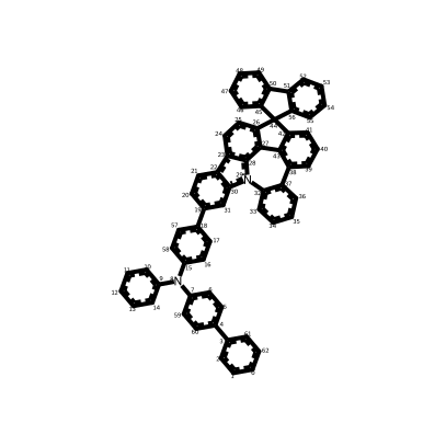 c1ccc(-c2ccc(N(c3ccccc3)c3ccc(-c4ccc5c6ccc7c8c6n(c5c4)-c4ccccc4-c4cccc(c4-8)C74c5ccccc5-c5ccccc54)cc3)cc2)cc1